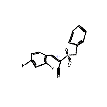 N#C/C(=C\c1ccc(F)cc1F)S(=O)(=O)Cc1ccccc1